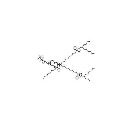 CCCCCCCSC(=O)N(CC1CCN(CCO[Si](C)(C)C(C)(C)C)CC1)C(CCCCCCCCC(=O)OCC(CCCC)CCCCCC)CCCCCCCCC(=O)OCC(CCCC)CCCCCC